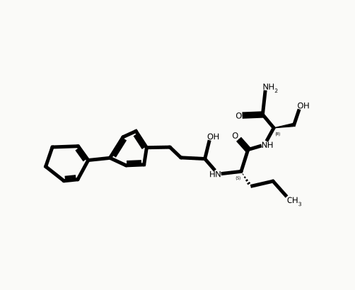 CCC[C@H](NC(O)CCc1ccc(C2=CCCC=C2)cc1)C(=O)N[C@H](CO)C(N)=O